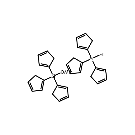 CC[Si](C1=CC=CC1)(C1=CC=CC1)C1=CC=CC1.CO[Si](C1=CC=CC1)(C1=CC=CC1)C1=CC=CC1